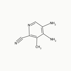 Cc1c(C#N)ncc(N)c1N